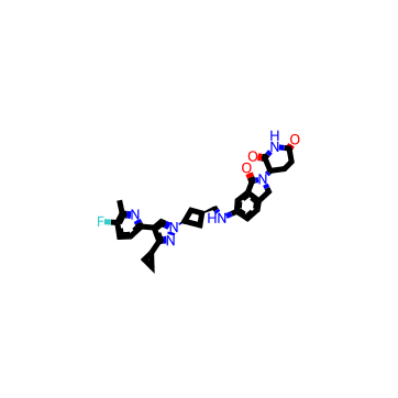 Cc1nc(-c2cn([C@H]3C[C@H](CNc4ccc5c(c4)C(=O)N(C4CCC(=O)NC4=O)C5)C3)nc2C2CC2)ccc1F